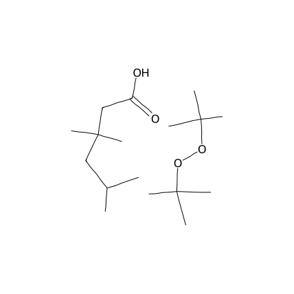 CC(C)(C)OOC(C)(C)C.CC(C)CC(C)(C)CC(=O)O